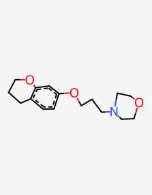 c1cc2c(cc1OCCCN1CCOCC1)OCCC2